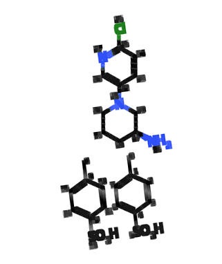 Cc1ccc(S(=O)(=O)O)cc1.Cc1ccc(S(=O)(=O)O)cc1.N[C@H]1CCCN(c2ccc(Cl)nc2)C1